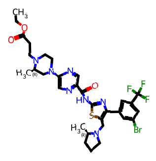 CCOC(=O)CCN1CCN(c2cnc(C(=O)Nc3nc(-c4cc(Br)cc(C(F)(F)F)c4)c(CN4CCC[C@H]4C)s3)cn2)C[C@H]1C